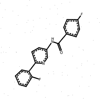 O=C(Nc1ccc(-c2ccccc2F)nc1)c1ccc(F)cc1